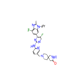 Cc1nc2c(F)cc(-c3nc(Nc4ccc(CN5CCC6(CC5)CNC(=O)C6)cn4)ncc3F)cc2n1C(C)C